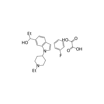 CCC(O)c1ccc2ccn(C3CCN(CC)CC3)c2c1.Fc1ccccc1.O=C(O)C(=O)O